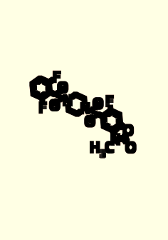 Cn1c(=O)oc2cc(F)c(S(=O)(=O)N3CCN(S(=O)(=O)c4c(F)cccc4F)CC3)cc21